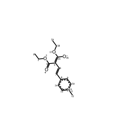 CCOC(=O)/C(C=Cc1cc[n+](C)cc1)=C(/[O-])OCC